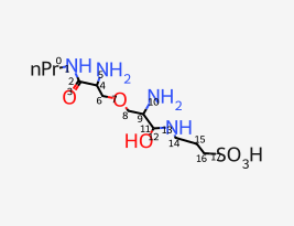 CCCNC(=O)C(N)COCC(N)C(O)NCCCS(=O)(=O)O